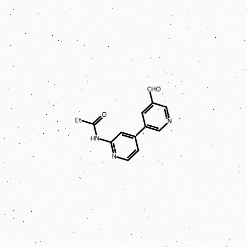 CCC(=O)Nc1cc(-c2cncc(C=O)c2)ccn1